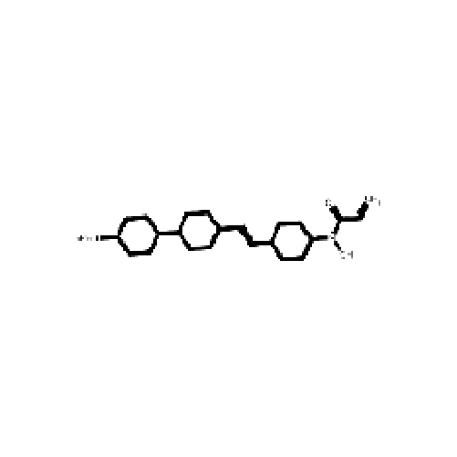 C=CC(=O)N(C)C1CCC(/C=C/C2CCC(C3CCC(CCCCC)CC3)CC2)CC1